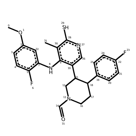 COc1ccc(F)c(Nc2c(C3CN(C=O)CCC3c3ccc(F)cc3)cnc(S)c2C)c1